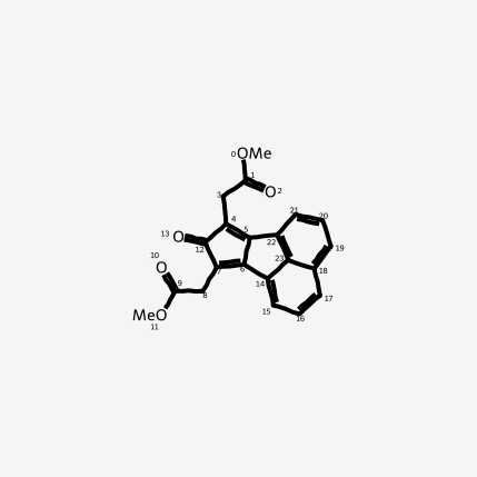 COC(=O)CC1=C2C(=C(CC(=O)OC)C1=O)c1cccc3cccc2c13